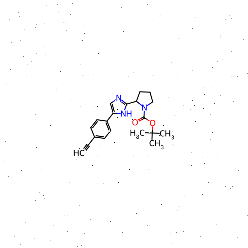 C#Cc1ccc(-c2cnc(C3CCCN3C(=O)OC(C)(C)C)[nH]2)cc1